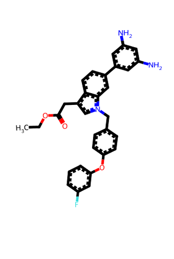 CCOC(=O)Cc1cn(Cc2ccc(Oc3cccc(F)c3)cc2)c2cc(-c3cc(N)cc(N)c3)ccc12